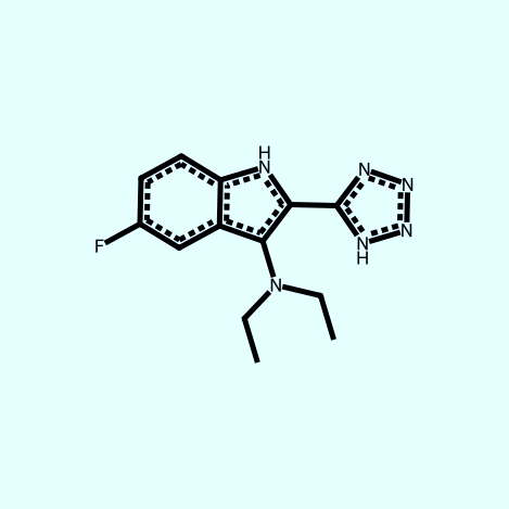 CCN(CC)c1c(-c2nnn[nH]2)[nH]c2ccc(F)cc12